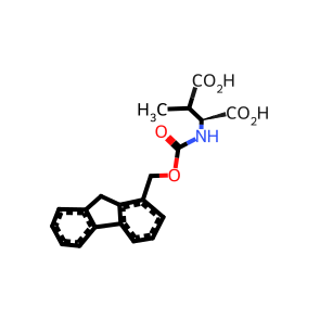 CC(C(=O)O)[C@H](NC(=O)OCc1cccc2c1Cc1ccccc1-2)C(=O)O